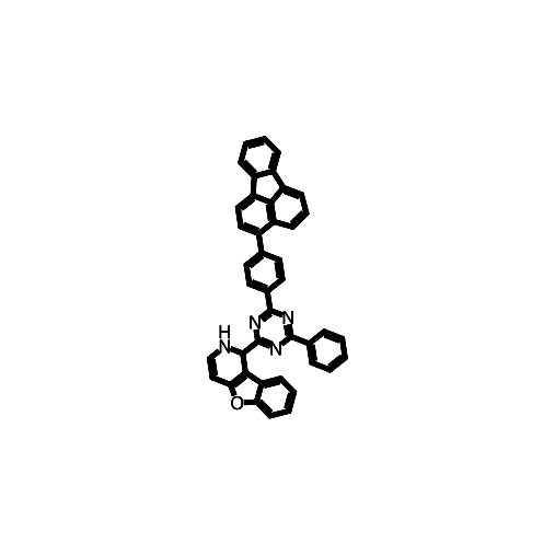 C1=Cc2oc3ccccc3c2C(c2nc(-c3ccccc3)nc(-c3ccc(-c4ccc5c6c(cccc46)-c4ccccc4-5)cc3)n2)N1